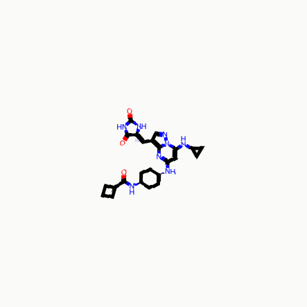 O=C1NC(=O)/C(=C/c2cnn3c(NC4CC4)cc(N[C@H]4CC[C@H](NC(=O)C5CCC5)CC4)nc23)N1